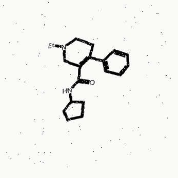 CCN1CCC(c2ccccc2)=C(C(=O)NC2CCCC2)C1